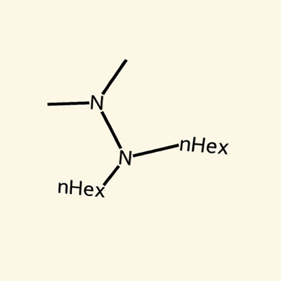 CCCCCCN(CCCCCC)N(C)C